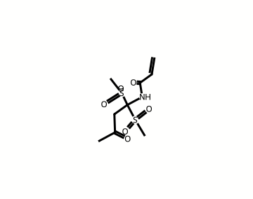 C=CC(=O)NC(CC(C)=O)(S(C)(=O)=O)S(C)(=O)=O